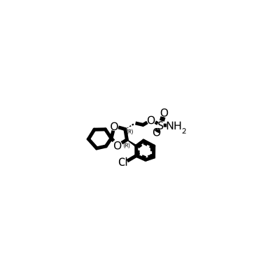 NS(=O)(=O)OCC[C@H]1OC2(CCCCC2)O[C@@H]1c1ccccc1Cl